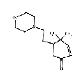 CC1(C)C=CC(=O)CC1CCN1CCNCC1